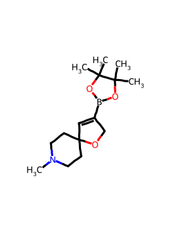 CN1CCC2(C=C(B3OC(C)(C)C(C)(C)O3)CO2)CC1